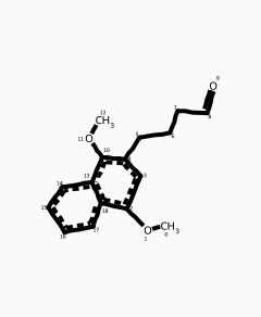 COc1cc(CCCC=O)c(OC)c2ccccc12